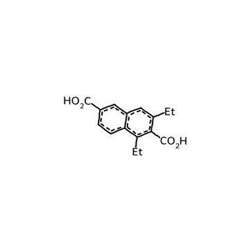 CCc1cc2cc(C(=O)O)ccc2c(CC)c1C(=O)O